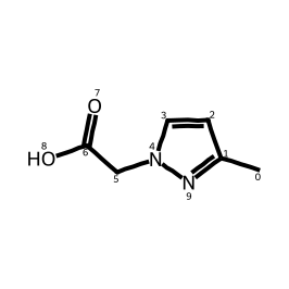 Cc1ccn(CC(=O)O)n1